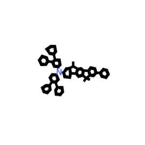 CC1c2cc(N(c3ccc(-c4ccccc4)c(-c4ccccc4)c3)c3ccc(-c4ccccc4)c(-c4ccccc4)c3)ccc2-c2cc3c(cc21)-c1ccc(-c2ccccc2)cc1C3(C)C